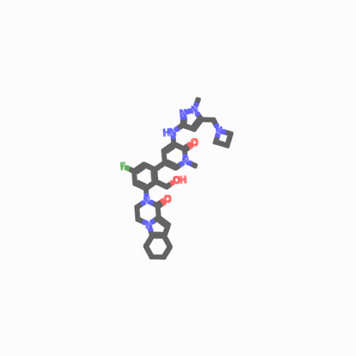 Cn1nc(Nc2cc(-c3cc(F)cc(N4CCn5c(cc6c5CCCC6)C4=O)c3CO)cn(C)c2=O)cc1CN1CCC1